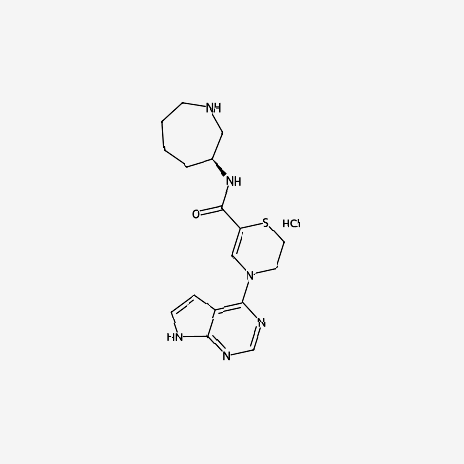 Cl.O=C(N[C@H]1CCCCNC1)C1=CN(c2ncnc3[nH]ccc23)CCS1